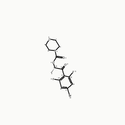 C[C@H](OC(=O)N1CCOCC1)C(=O)c1c(F)cc(Br)cc1F